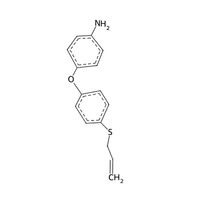 C=CCSc1ccc(Oc2ccc(N)cc2)cc1